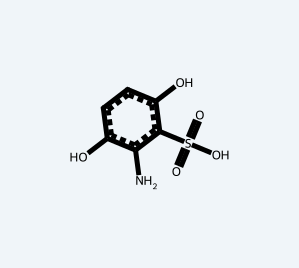 Nc1c(O)ccc(O)c1S(=O)(=O)O